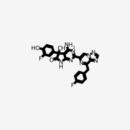 CC1(c2ccc(O)c(F)c2)C(=O)Nc2nc(-c3cn4ncnc4c(Cc4ccc(F)cc4)n3)nc(N)c21